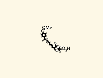 COCOc1ccc(C(C)=NOCCCCC2COC(C)(C(=O)O)OC2C)cc1